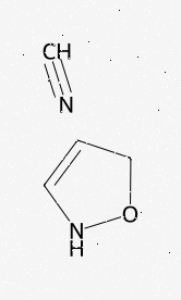 C#N.C1=CNOC1